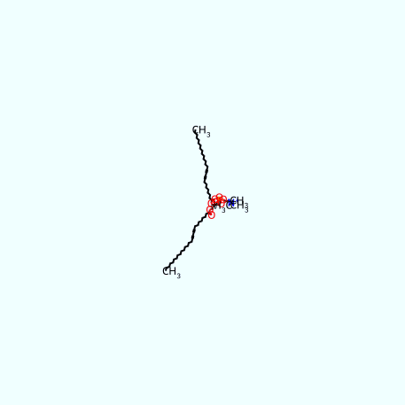 CCCCCCCCCCCCCCCC#CC#CCCCCCCCC(=O)OC[C@H](COP(=O)([O-])OCC[N+](C)(C)C)OC(=O)CCCCCCCC#CC#CCCCCCCCCCCCCCCC